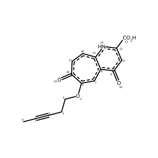 CC#CCCOc1cc2c(=O)cc(C(=O)O)[nH]c2ccc1=O